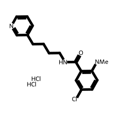 CNc1ccc(Cl)cc1C(=O)NCCCCc1cccnc1.Cl.Cl